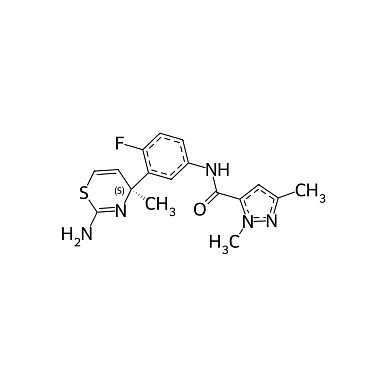 Cc1cc(C(=O)Nc2ccc(F)c([C@]3(C)C=CSC(N)=N3)c2)n(C)n1